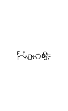 CC1(C)OB(c2ccc(N3CCN(CC(F)C(F)F)CC3)cc2)OC1(C)C